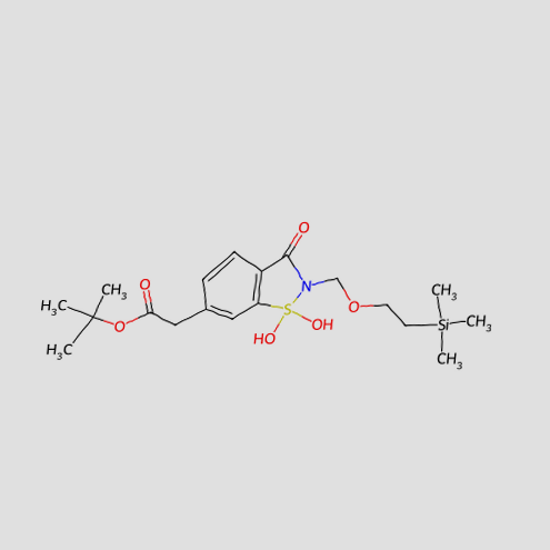 CC(C)(C)OC(=O)Cc1ccc2c(c1)S(O)(O)N(COCC[Si](C)(C)C)C2=O